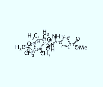 COC(=O)c1ccc(C(=N)NS(=O)(=O)c2c(C)c(C)c3c(c2C)CC(C)(C)O3)cc1